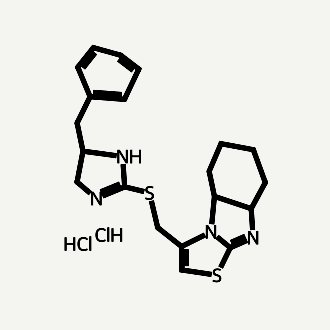 C1=C(CSC2=NCC(Cc3ccccc3)N2)N2C(=NC3CCCCC32)S1.Cl.Cl